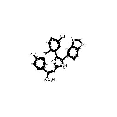 O=C(O)C(=Cc1nc(-c2cc(Cl)ccc2Cl)c(-c2ccc3c(c2)OCO3)[nH]1)c1ccc(Cl)cc1